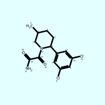 CC1CCC(c2cc(Cl)cc(Cl)c2)N(C(=O)C(N)=O)C1